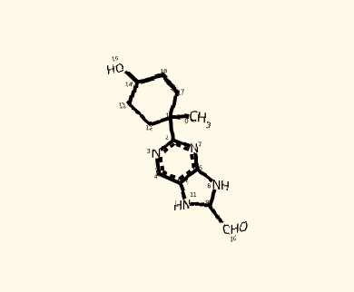 CC1(c2ncc3c(n2)NC(C=O)N3)CCC(O)CC1